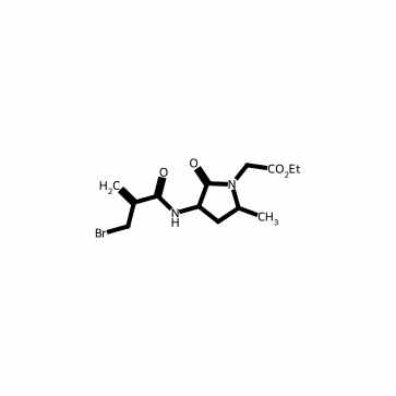 C=C(CBr)C(=O)NC1CC(C)N(CC(=O)OCC)C1=O